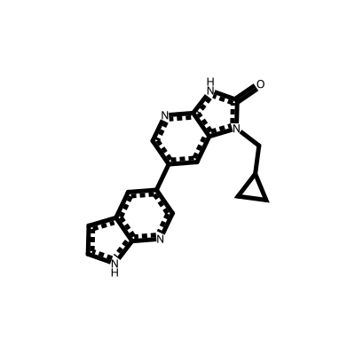 O=c1[nH]c2ncc(-c3cnc4[nH]ccc4c3)cc2n1CC1CC1